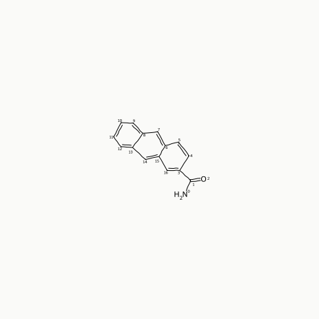 NC(=O)c1c[c]c2cc3ccccc3cc2c1